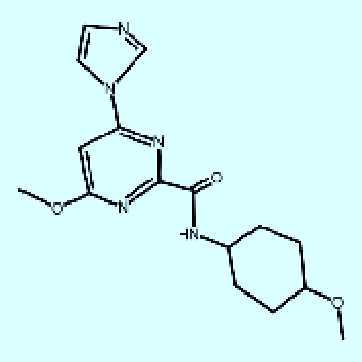 COc1cc(-n2ccnc2)nc(C(=O)NC2CCC(OC)CC2)n1